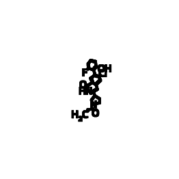 C=CC(=O)N1CCC(c2cc3cc(Cl)c(-c4c(O)cccc4F)cc3c(=O)[nH]2)C1